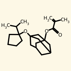 C=C(C)C(=O)OC12CC3CC(C1)CC(OC1(C(C)C)CCCC1)(C3)C2